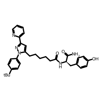 CC(C)(C)c1ccc(-n2nc(-c3ccccn3)cc2CCCCCC(=O)N[C@H](Cc2ccc(O)cc2)C(N)=O)cc1